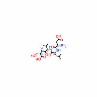 CC(C)C[C@H](NC(=O)[C@@H](N)CC(=O)O)C(=O)N[C@H](C(=O)N[C@@H](CO)C(=O)O)C(C)C